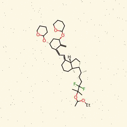 C=C1/C(=C\C=C2/CCC[C@]3(C)[C@@H]([C@H](C)CCC(F)(F)C(C)(C)OC(C)OCC)CC[C@@H]23)C[C@H](OC2CCCCO2)C[C@H]1OC1CCCCO1